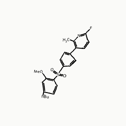 CCCCc1[c]c(OC)c(S(=O)(=O)c2ccc(-c3ccc(F)nc3C)cc2)cc1